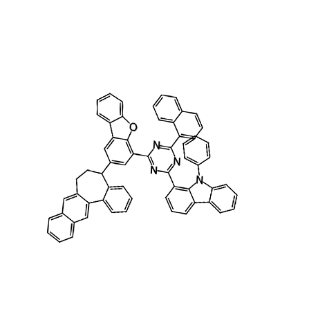 c1ccc(-n2c3ccccc3c3cccc(-c4nc(-c5cccc6ccccc56)nc(-c5cc(C6CCc7cc8ccccc8cc7-c7ccccc76)cc6c5oc5ccccc56)n4)c32)cc1